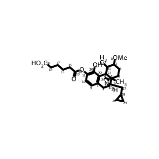 COC1CCC2(C)[C@H]3Cc4ccc(OC(=O)CCCCC(=O)O)c(O)c4[C@@]2(CCN3CC2CC2)C1C